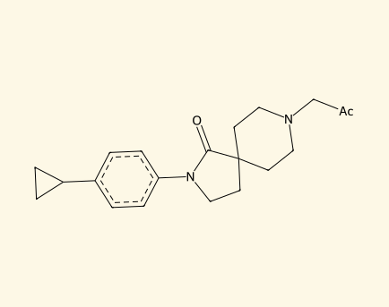 CC(=O)CN1CCC2(CC1)CCN(c1ccc(C3CC3)cc1)C2=O